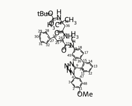 COc1ccc(-n2nnnc2-c2ccccc2-c2ccc(N(C)C(=O)[C@@H](CCc3ccccc3)NC(=O)CC(C)(C)NC(=O)OC(C)(C)C)cc2)cc1